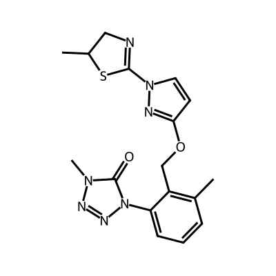 Cc1cccc(-n2nnn(C)c2=O)c1COc1ccn(C2=NCC(C)S2)n1